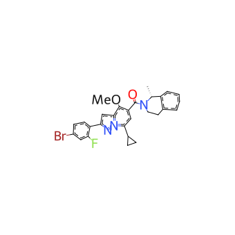 COc1c(C(=O)N2CCc3ccccc3[C@H]2C)cc(C2CC2)n2nc(-c3ccc(Br)cc3F)cc12